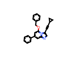 C(#CC1CC1)c1cnc2cc(-c3ccccc3)cc(OCc3ccccc3)n12